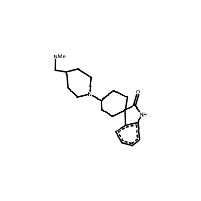 CNCC1CCN(C2CCC3(CC2)C(=O)Nc2ccccc23)CC1